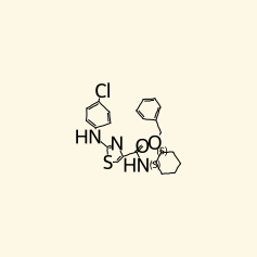 O=C(N[C@H]1CCCC[C@@H]1OCc1ccccc1)c1csc(Nc2ccc(Cl)cc2)n1